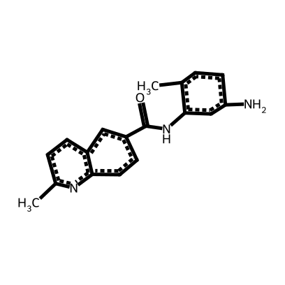 Cc1ccc2cc(C(=O)Nc3cc(N)ccc3C)ccc2n1